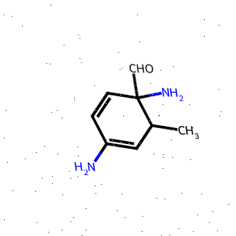 CC1C=C(N)C=CC1(N)C=O